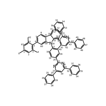 Cc1cc(C)c(-c2ccc3c4ccccc4n(-c4ccc(-c5nc(-c6ccccc6)cc(-c6ccccc6)n5)cc4-c4cc(-c5ccccc5)nc(-c5ccccc5)n4)c3c2)c(C)c1